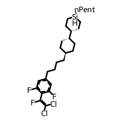 CCCCC[Si@H]1CC[C@H]([C@H]2CC[C@H](CCCCc3cc(F)c(C(F)=C(Cl)Cl)c(F)c3)CC2)CC1